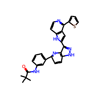 CC(C)(C)C(=O)Nc1cccc(-c2ccc3[nH]nc(-c4cc5c(-c6cccs6)nccc5[nH]4)c3n2)c1